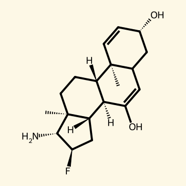 C[C@]12CC[C@H]3[C@@H](C(O)=CC4C[C@@H](O)C=C[C@@]43C)[C@@H]1C[C@@H](F)[C@@H]2N